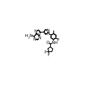 Cc1cc(F)c(NC(=O)C2CCC(F)(F)C2)cc1-n1cc(-c2cnc3c(N)ncnn23)cn1